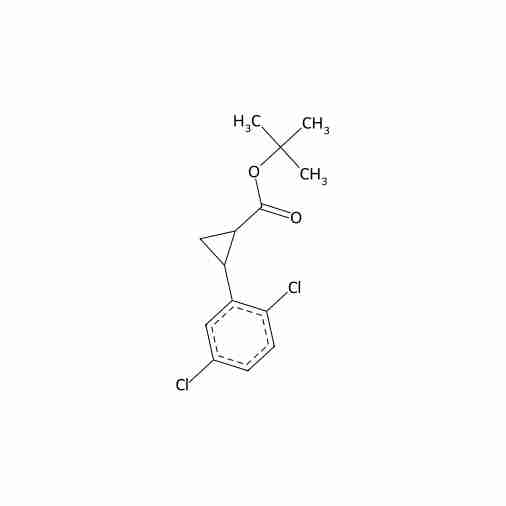 CC(C)(C)OC(=O)C1CC1c1cc(Cl)ccc1Cl